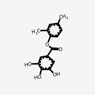 Cc1ccc(OC(=O)c2cc(O)c(O)c(O)c2)c(C)c1